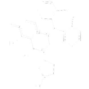 CC(C)N1CC[C@@H](N2CN(C3C4=C(C=CCC4)CCc4ccccc43)n3ccc(=O)c(O)c3C2=O)C1